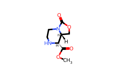 COC(=O)[C@@H]1NCCN2C(=O)OC[C@H]12